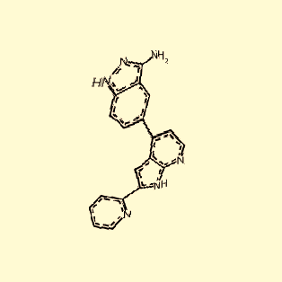 Nc1n[nH]c2ccc(-c3ccnc4[nH]c(-c5ccccn5)cc34)cc12